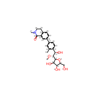 CO[C@@H](C1OC(CO)[C@@H](O)C1O)[C@H](O)c1ccc(-c2ccc3c(c2)C(=O)N(C)CC3)cc1C